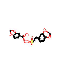 O=C(OS(=O)(=O)/C=C/c1ccc2c(c1)OCO2)c1ccc2c(c1)OCO2